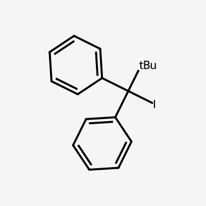 CC(C)(C)C(I)(c1ccccc1)c1ccccc1